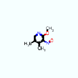 Bc1cnc(OC)c(N=O)c1C